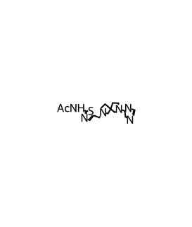 CC(=O)Nc1ncc(CN2CCC3(CCN(c4cnccn4)C3)C2)s1